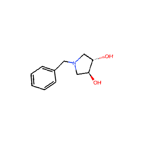 O[C@H]1CN(Cc2ccccc2)C[C@@H]1O